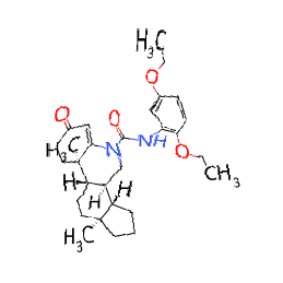 CCOc1ccc(OCC)c(NC(=O)N2C[C@H]3[C@@H]4CCC[C@@]4(C)CC[C@@H]3[C@@]3(C)CCC(=O)C=C23)c1